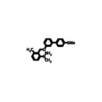 CSc1ccc(-c2cccc(OCc3c(C)cccc3N(C)N)c2)cc1